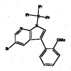 COc1ccccc1-c1cn([Si](C(C)C)(C(C)C)C(C)C)c2ncc(Br)cc12